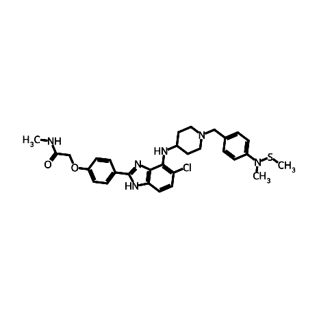 CNC(=O)COc1ccc(-c2nc3c(NC4CCN(Cc5ccc(N(C)SC)cc5)CC4)c(Cl)ccc3[nH]2)cc1